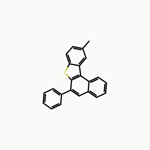 Cc1ccc2sc3c(-c4ccccc4)cc4ccccc4c3c2c1